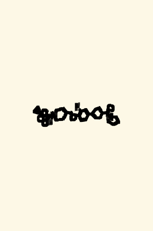 CC1(OC(=O)N2CCC(COc3ccc(C4=CCC(C(=O)N5CCCC5)CC4)cc3F)CC2)CC1